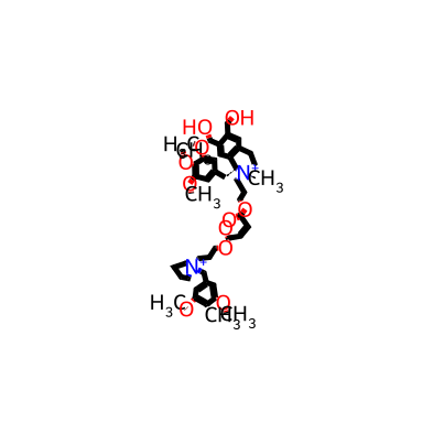 COc1cc(C[N+]2(CCCOC(=O)/C=C\C(=O)OCCC[N@+]3(C)CCc4cc(CO)c(CO)cc4[C@H]3Cc3cc(OC)c(OC)c(OC)c3)CCCC2)cc(OC)c1C